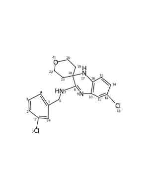 Clc1cccc(CNC2=Nc3cc(Cl)ccc3NC23CCOCC3)c1